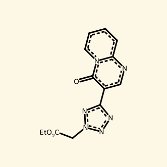 CCOC(=O)Cn1nnc(-c2cnc3ccccn3c2=O)n1